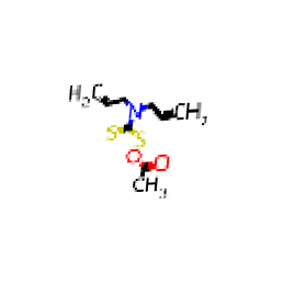 C=CCN(CC=C)C(=S)SOC(C)=O